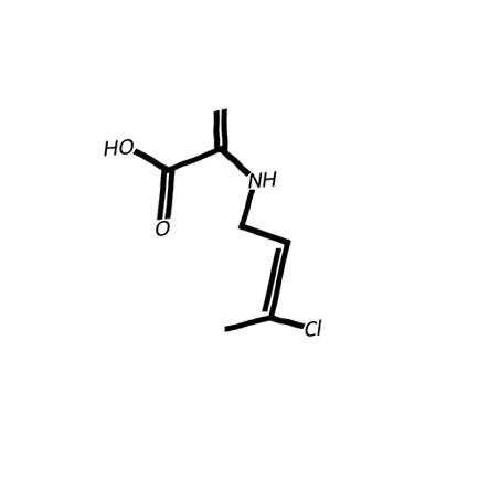 C=C(NC/C=C(\C)Cl)C(=O)O